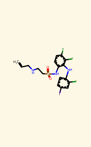 C=CCNCCS(=O)(=O)Nc1ccc(F)c(F)c1Nc1ccc(I)cc1F